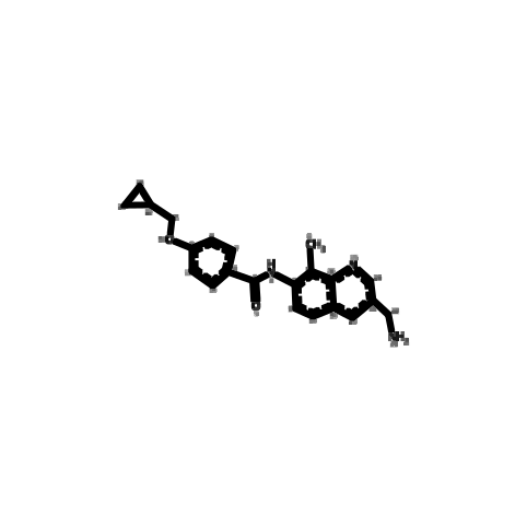 Cc1c(NC(=O)c2ccc(OCC3CC3)cc2)ccc2cc(CN)cnc12